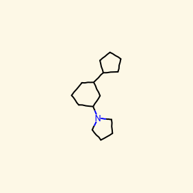 C1CCC(C2CCCC(N3CCCC3)C2)C1